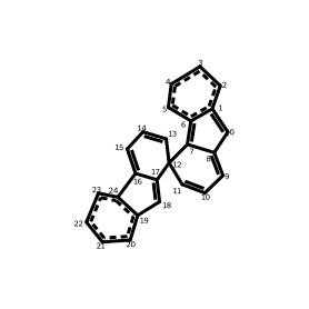 [C]1=c2ccccc2=C2C1=CC=CC21C=CC=C2C1=Cc1ccccc12